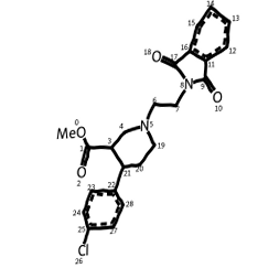 COC(=O)C1CN(CCN2C(=O)c3ccccc3C2=O)CCC1c1ccc(Cl)cc1